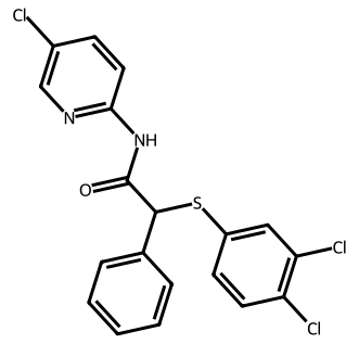 O=C(Nc1ccc(Cl)cn1)C(Sc1ccc(Cl)c(Cl)c1)c1ccccc1